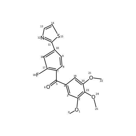 COc1cc(C(=O)c2ccc(-c3nccs3)cc2F)cc(OC)c1OC